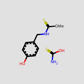 COC(=S)NCc1ccc(O)cc1.NC(O)=S